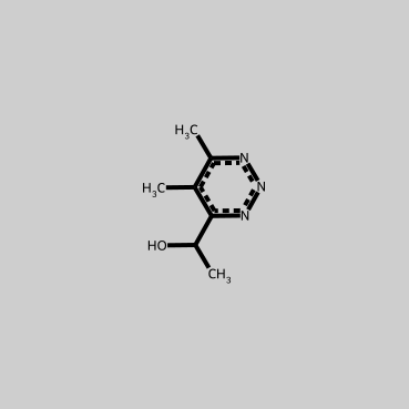 Cc1nnnc(C(C)O)c1C